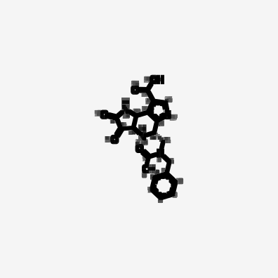 CC(=O)N(Cc1ccccc1)C[C@@H]1NC2C(=O)C(=O)NC2c2c(C(=O)O)csc21